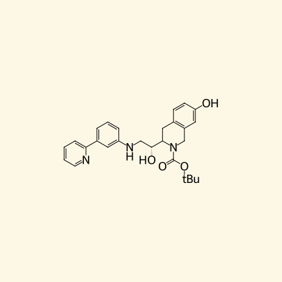 CC(C)(C)OC(=O)N1Cc2cc(O)ccc2CC1[C@H](O)CNc1cccc(-c2ccccn2)c1